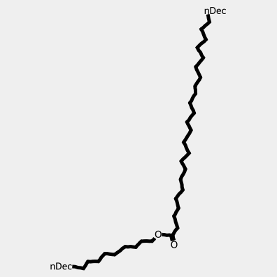 CCCCCCCCCCCCCCCCCCCCCCCCCCCCCCCCCC(=O)OCCCCCCCCCCCCCCCCCCC